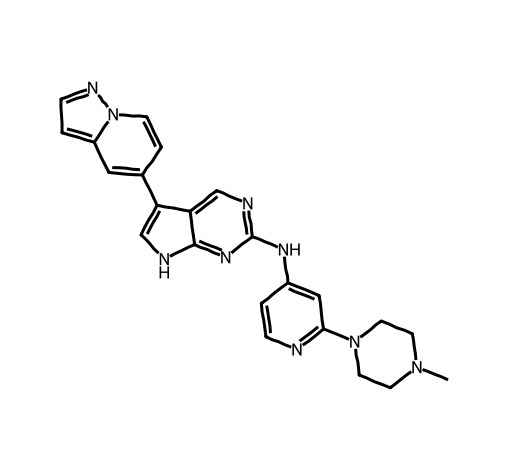 CN1CCN(c2cc(Nc3ncc4c(-c5ccn6nccc6c5)c[nH]c4n3)ccn2)CC1